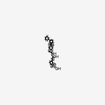 O=S(=O)(CCO)c1cccc(OCC(O)CN[C@H]2COC3(CCN(S(=O)(=O)c4cccc(-c5ccccn5)c4)CC3)C2)c1